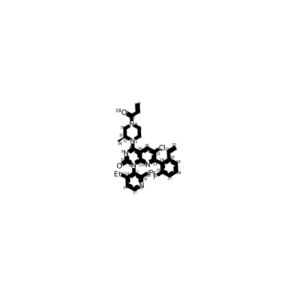 C=CC(=[18O])N1CCN(c2nc(=O)n(-c3c(CC)ccnc3C(C)C)c3nc(-c4c(F)cccc4C=C)c(Cl)cc23)[C@@H](C)C1